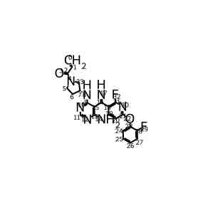 C=CC(=O)N1CC[C@@H](Nc2ncnc(N)c2C(=N)c2ccc(Oc3ccccc3F)nc2F)C1